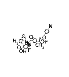 Cc1cc(Cc2nc3c(F)cc(C(=O)O)cc3n2[C@@H]2COCC2(C)C)c(Cl)cc1-c1ccc(F)c(OCc2ccc(C#N)cc2)n1